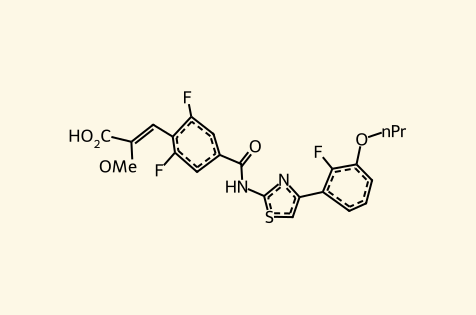 CCCOc1cccc(-c2csc(NC(=O)c3cc(F)c(/C=C(\OC)C(=O)O)c(F)c3)n2)c1F